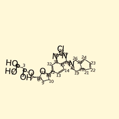 OP(O)CP(O)OC[C@@H]1CC[C@H](c2ccc3c(N4CCc5ccccc5C4)nc(Cl)nc3c2)O1